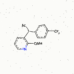 COc1ncccc1C(C(C)=O)c1ccc(C(F)(F)F)cc1